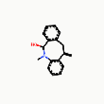 C=C1Cc2ccccc2C(O)N(C)c2ccccc21